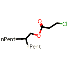 CCCCCC(CCCCC)COC(=O)CCCl